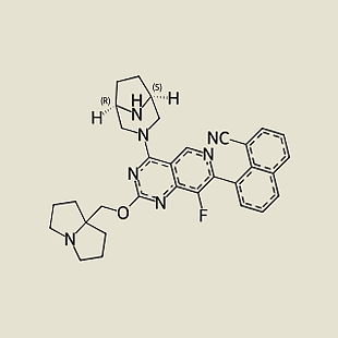 N#Cc1cccc2cccc(-c3ncc4c(N5C[C@H]6CC[C@@H](C5)N6)nc(OCC56CCCN5CCC6)nc4c3F)c12